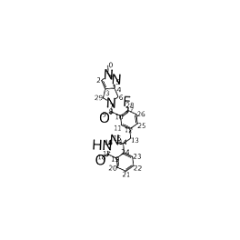 Cn1cc2c(n1)CN(C(=O)c1cc(Cc3n[nH]c(=O)c4ccccc34)ccc1F)C2